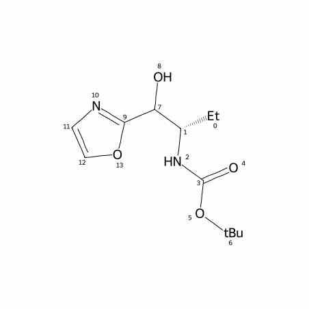 CC[C@H](NC(=O)OC(C)(C)C)C(O)c1ncco1